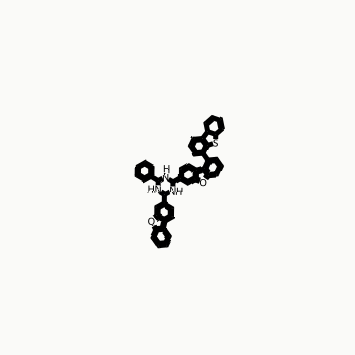 C1=CC2Sc3c(-c4cccc5oc6cc(C7NC(c8ccccc8)NC(c8ccc9c(c8)oc8ccccc89)N7)ccc6c45)cccc3C2C=C1